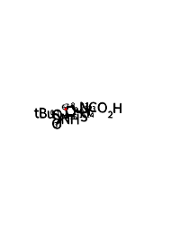 CC(C)(C)OC(=O)Nc1cccc(-c2nc(C(=O)O)cs2)c1